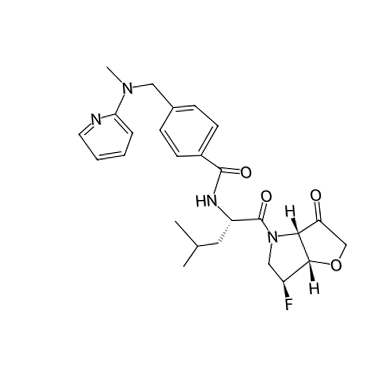 CC(C)C[C@H](NC(=O)c1ccc(CN(C)c2ccccn2)cc1)C(=O)N1C[C@H](F)[C@H]2OCC(=O)[C@H]21